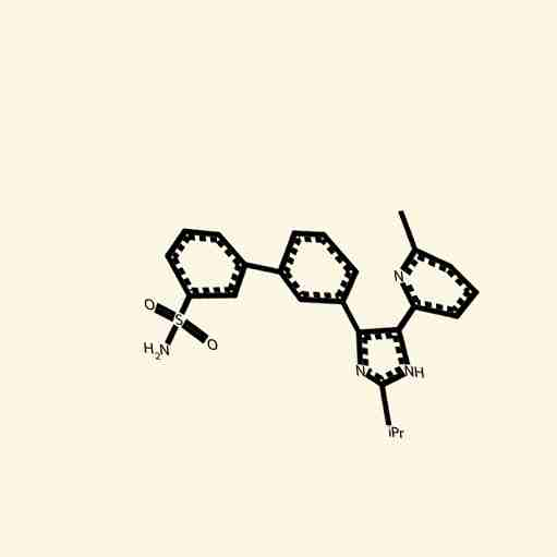 Cc1cccc(-c2[nH]c(C(C)C)nc2-c2cccc(-c3cccc(S(N)(=O)=O)c3)c2)n1